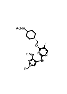 COc1nn(C(C)C)cc1Nc1ncc(F)c(OC[C@H]2CC[C@H](NC(C)=O)CC2)n1